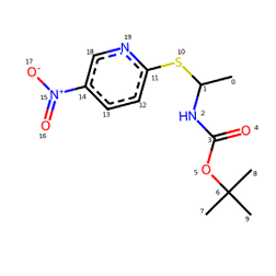 CC(NC(=O)OC(C)(C)C)Sc1ccc([N+](=O)[O-])cn1